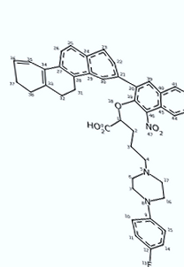 O=C(O)C(CCCN1CCN(c2ccc(F)cc2)CC1)Oc1c(-c2ccc3ccc4c(c3c2)CCC2=C4C=CCC2)cc2ccccc2c1[N+](=O)[O-]